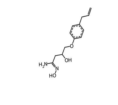 C=CCc1ccc(OCC(O)CC(N)=NO)cc1